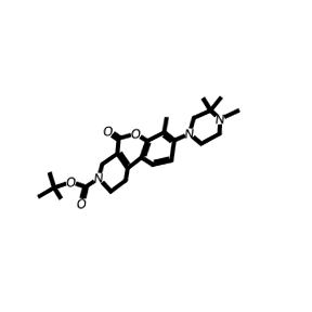 Cc1c(N2CCN(C)C(C)(C)C2)ccc2c3c(c(=O)oc12)CN(C(=O)OC(C)(C)C)CC3